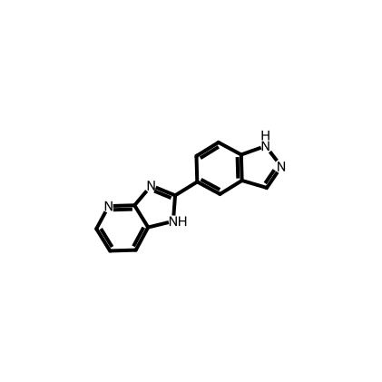 c1cnc2nc(-c3ccc4[nH]ncc4c3)[nH]c2c1